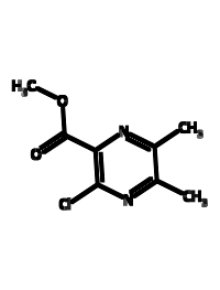 COC(=O)c1nc(C)c(C)nc1Cl